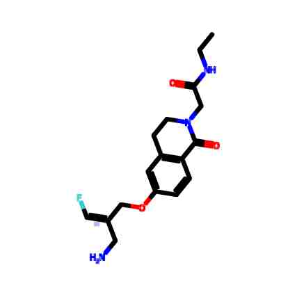 CCNC(=O)CN1CCc2cc(OC/C(=C\F)CN)ccc2C1=O